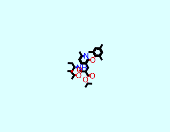 CCC(CC)Nc1cc(C)nc(Oc2c(C)cc(C)cc2C)c1CC(C(=O)OC(C)C)C(=O)OC(C)C